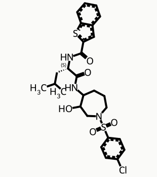 CC(C)C[C@H](NC(=O)c1cc2ccccc2s1)C(=O)NC1CCCN(S(=O)(=O)c2ccc(Cl)cc2)CC1O